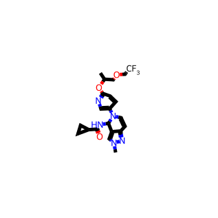 CC(COCC(F)(F)F)Oc1ccc(N2C=Cc3nn(C)cc3C2NC(=O)C2CC2)cn1